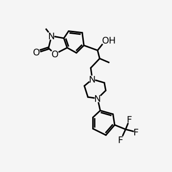 CC(CN1CCN(c2cccc(C(F)(F)F)c2)CC1)C(O)c1ccc2c(c1)oc(=O)n2C